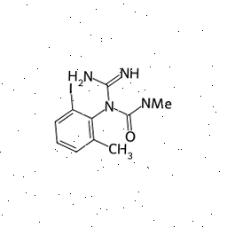 CNC(=O)N(C(=N)N)c1c(C)cccc1I